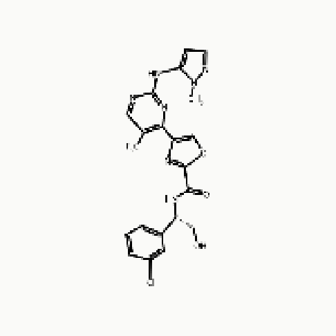 Cn1nccc1Nc1ncc(C(F)(F)F)c(-c2coc(C(=O)N[C@H](CO)c3cccc(Cl)c3)n2)n1